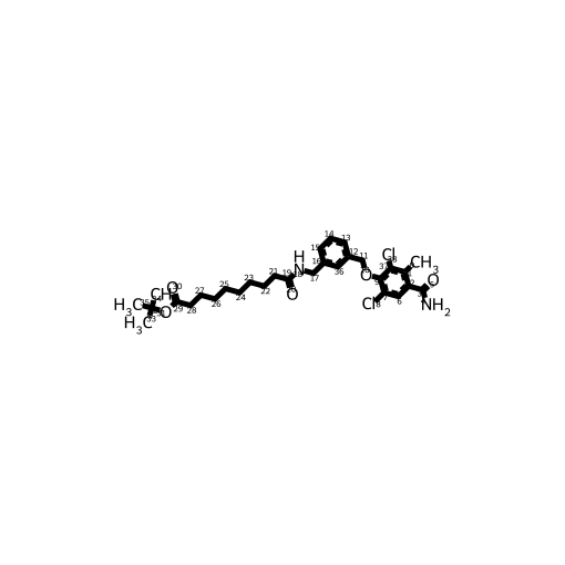 Cc1c(C(N)=O)cc(Cl)c(OCc2cccc(CNC(=O)CCCCCCCCC(=O)OC(C)(C)C)c2)c1Cl